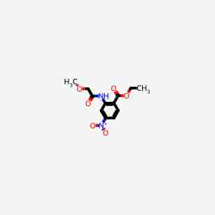 CCOC(=O)c1ccc([N+](=O)[O-])cc1NC(=O)COC